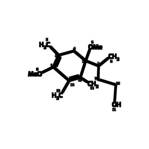 COC1=C(C)CC(OC)(C(C)CCO)C(C)=C1C